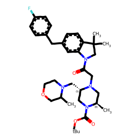 CC1COCCN1C[C@H]1CN(C(=O)OC(C)(C)C)[C@H](C)CN1CC(=O)N1CC(C)(C)c2ccc(Cc3ccc(F)cc3)cc21